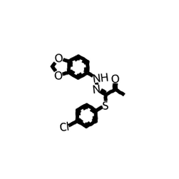 CC(=O)/C(=N\Nc1ccc2c(c1)OCO2)Sc1ccc(Cl)cc1